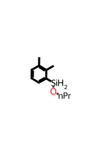 CCCO[SiH2]c1cccc(C)c1C